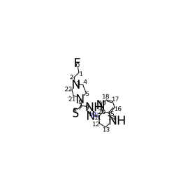 FCCN1CCN(C(=S)N/N=C2/CCNc3cccnc32)CC1